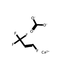 FC=CC(F)(F)F.O=C([O-])[O-].[Ca+2]